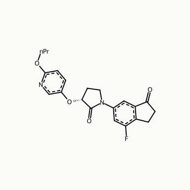 CCCOc1ccc(O[C@@H]2CCN(c3cc(F)c4c(c3)C(=O)CC4)C2=O)cn1